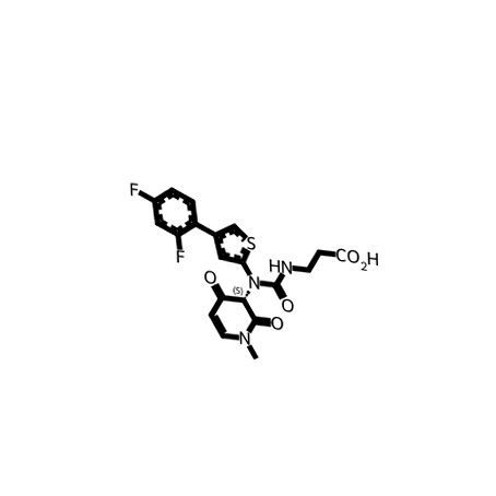 CN1C=CC(=O)[C@H](N(C(=O)NCCC(=O)O)c2cc(-c3ccc(F)cc3F)cs2)C1=O